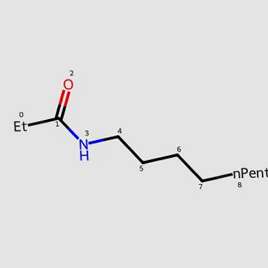 [CH2]CC(=O)NCCCCCCCCC